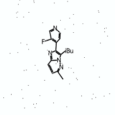 CCC(C)c1c(-c2ccncc2F)nc2ccc(C)nn12